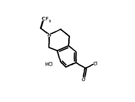 Cl.O=C(Cl)c1ccc2c(c1)CCN(CC(F)(F)F)C2